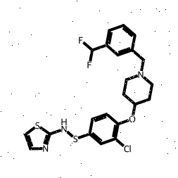 FC(F)c1cccc(CN2CCC(Oc3ccc(SNc4nccs4)cc3Cl)CC2)c1